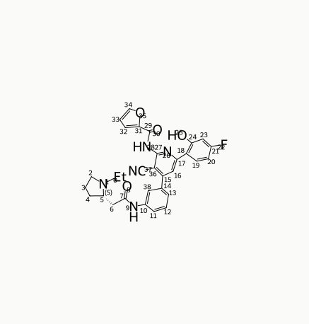 CCN1CCC[C@H]1CC(=O)Nc1cccc(-c2cc(-c3ccc(F)cc3O)nc(NC(=O)c3ccco3)c2C#N)c1